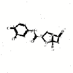 O=C(Nc1ccc(Cl)c(Cl)c1)[C@H]1CN2C(=O)C[C@@H]2O1